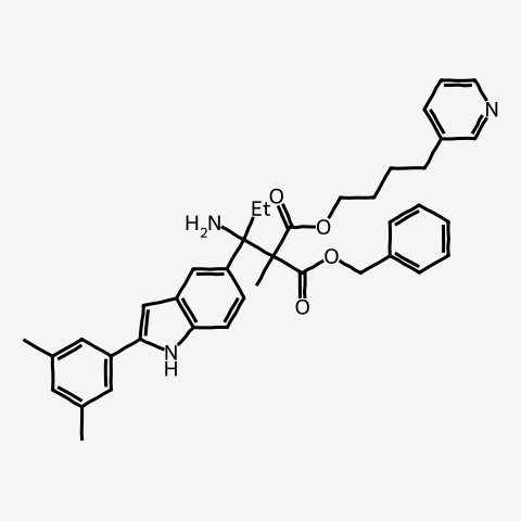 CCC(N)(c1ccc2[nH]c(-c3cc(C)cc(C)c3)cc2c1)C(C)(C(=O)OCCCCc1cccnc1)C(=O)OCc1ccccc1